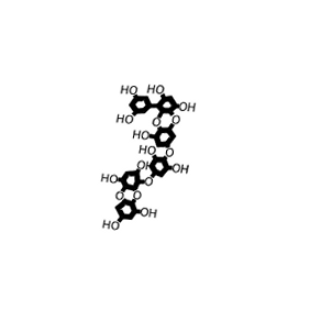 Oc1cc(O)cc(-c2c(O)cc(O)c3c2Oc2c(O)cc(Oc4c(O)cc(Oc5c(O)cc(O)c6c5Oc5c(O)cc(O)cc5O6)cc4O)cc2O3)c1